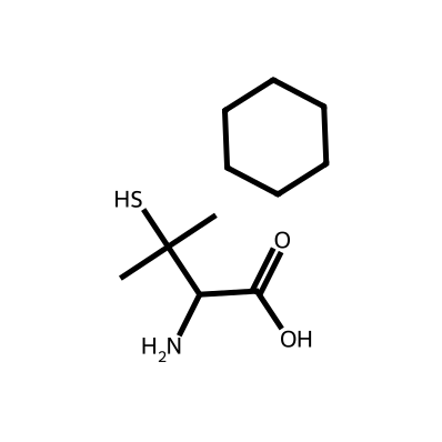 C1CCCCC1.CC(C)(S)C(N)C(=O)O